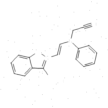 C#CCN(C=C[n+]1[se]c2ccccc2c1CC)c1ccccc1.[Br-]